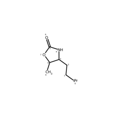 CC(C)CCC1NC(=O)OC1C